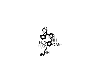 COc1cc(N(C)CCNC(C)C)c(N)cc1Nc1nccc(-c2c3n(c4ccccc24)CCOC3)n1